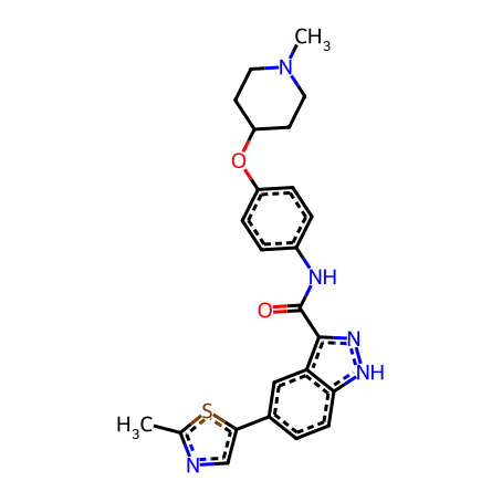 Cc1ncc(-c2ccc3[nH]nc(C(=O)Nc4ccc(OC5CCN(C)CC5)cc4)c3c2)s1